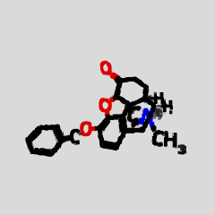 CN1CC[C@]23c4c5ccc(OCc6ccccc6)c4OC2C(=O)CC[C@H]3[C@H]1C5